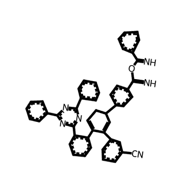 N#Cc1cccc(C2=CC(c3ccc(C(=N)OC(=N)c4ccccc4)cc3)CC=C2c2ccccc2-c2nc(-c3ccccc3)nc(-c3ccccc3)n2)c1